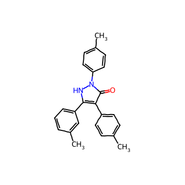 Cc1ccc(-c2c(-c3cccc(C)c3)[nH]n(-c3ccc(C)cc3)c2=O)cc1